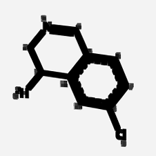 [2H]C1CN=Cc2ccc(Cl)cc21